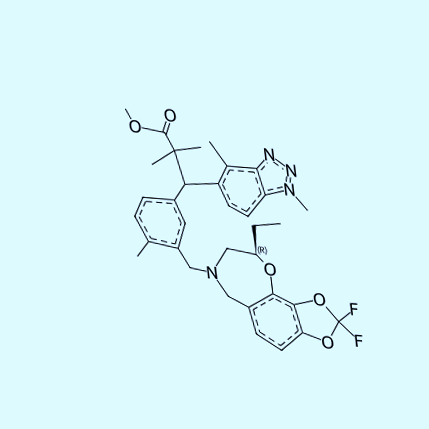 CC[C@@H]1CN(Cc2cc(C(c3ccc4c(nnn4C)c3C)C(C)(C)C(=O)OC)ccc2C)Cc2ccc3c(c2O1)OC(F)(F)O3